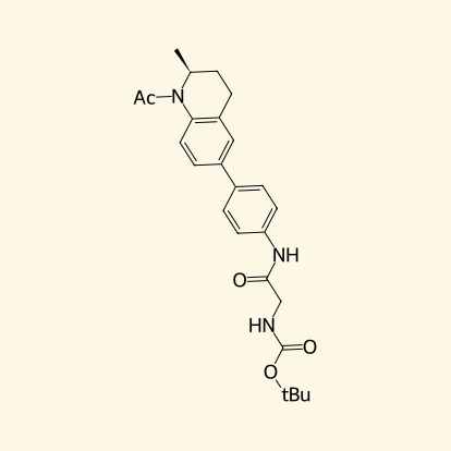 CC(=O)N1c2ccc(-c3ccc(NC(=O)CNC(=O)OC(C)(C)C)cc3)cc2CC[C@@H]1C